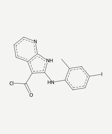 Cc1cc(I)ccc1Nc1[nH]c2ncccc2c1C(=O)Cl